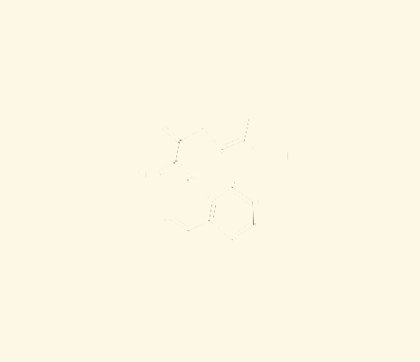 C=C(CC=C(C)C(=O)O)C(=O)OCC(C)C.C=Cc1ccccc1